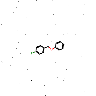 Fc1ccc(COc2cc[c]cc2)cc1